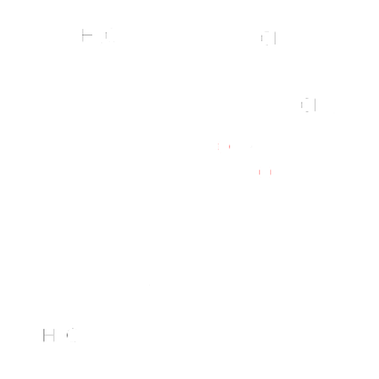 CCCCC1CCC(c2ccc(OC(=O)C(CC)CCC(C)C3CCC(CCC)CC3)cc2)CC1